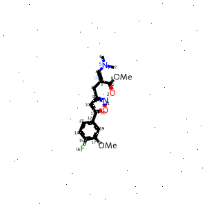 COC(=O)/C(=C\N(C)C)Cc1cc(-c2ccc(F)c(OC)c2)on1